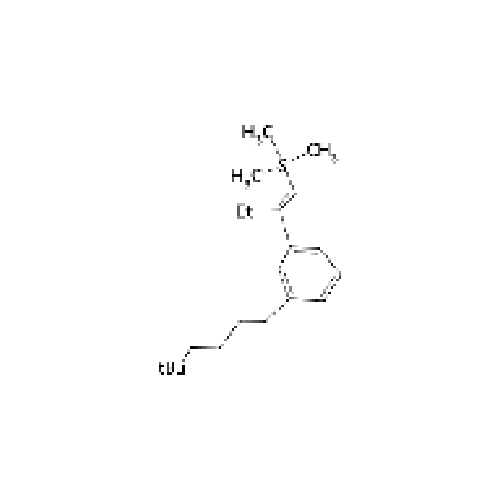 CC/C(=C\[Si](C)(C)C)c1cccc(CCCCC(C)(C)C)c1